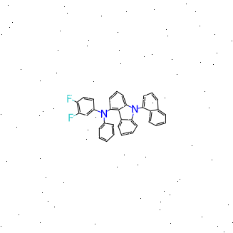 Fc1ccc(N(c2ccccc2)c2cccc3c2c2ccccc2n3-c2cccc3ccccc23)cc1F